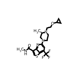 CNC(=O)c1csc2c(C(F)(F)F)cc(N3CCN(CCOC4CC4)[C@H](C)C3)nc12